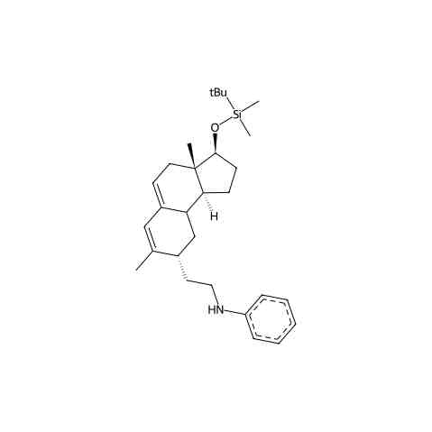 CC1=CC2=CC[C@]3(C)[C@@H](O[Si](C)(C)C(C)(C)C)CC[C@H]3C2C[C@@H]1CCNc1ccccc1